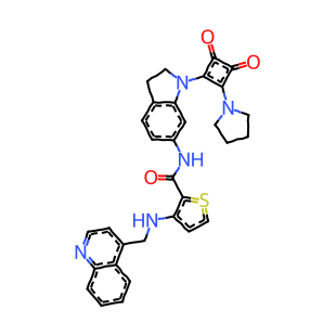 O=C(Nc1ccc2c(c1)N(c1c(N3CCCC3)c(=O)c1=O)CC2)c1sccc1NCc1ccnc2ccccc12